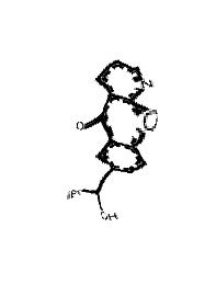 CC(C)C(O)c1ccc2oc3ncccc3c(=O)c2c1